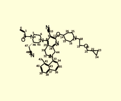 C=CC(=O)N1CCN(c2c(C#N)c(OC3CCN(CCOCC4CC4)CC3)nc3c2CCN(c2cccc4cccc(C)c24)C3)C[C@@H]1CC#N